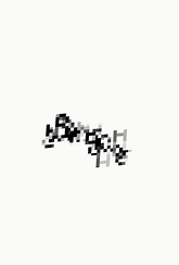 CC(=O)NCCNS(=O)(=O)c1ccc(Nc2ncc3c(n2)-c2ccccc2N(C)C(=O)C3)cc1